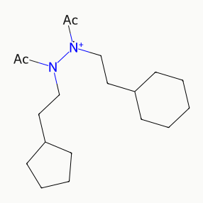 CC(=O)N(CCC1CCCC1)[N+](CCC1CCCCC1)C(C)=O